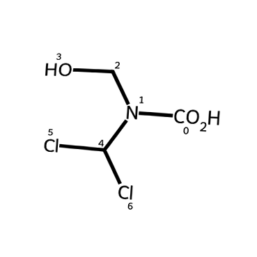 O=C(O)N(CO)C(Cl)Cl